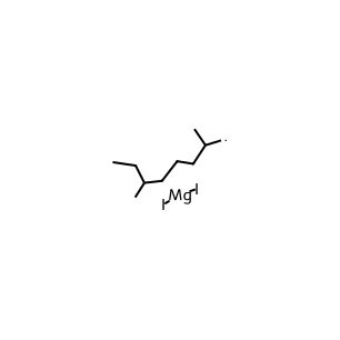 [CH2]C(C)CCCC(C)CC.[I][Mg][I]